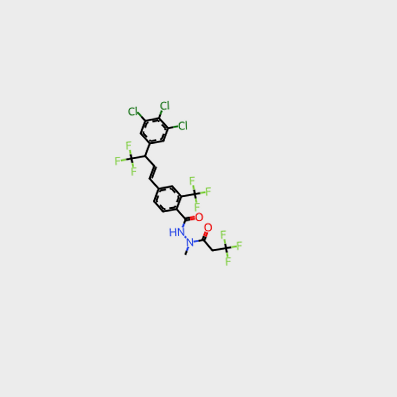 CN(NC(=O)c1ccc(C=CC(c2cc(Cl)c(Cl)c(Cl)c2)C(F)(F)F)cc1C(F)(F)F)C(=O)CC(F)(F)F